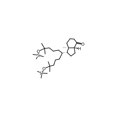 CC(C)(CCCC(CCCC(C)(C)O[Si](C)(C)C)[C@H]1CC[C@H]2C(=O)CCC[C@]12C)O[Si](C)(C)C